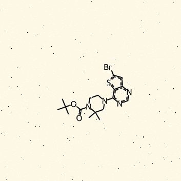 CC(C)(C)OC(=O)N1CCN(c2ncnc3cc(Br)sc23)CC1(C)C